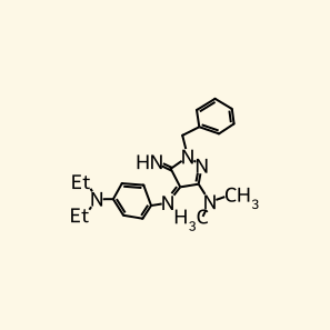 CCN(CC)c1ccc(N=C2C(=N)N(Cc3ccccc3)N=C2N(C)C)cc1